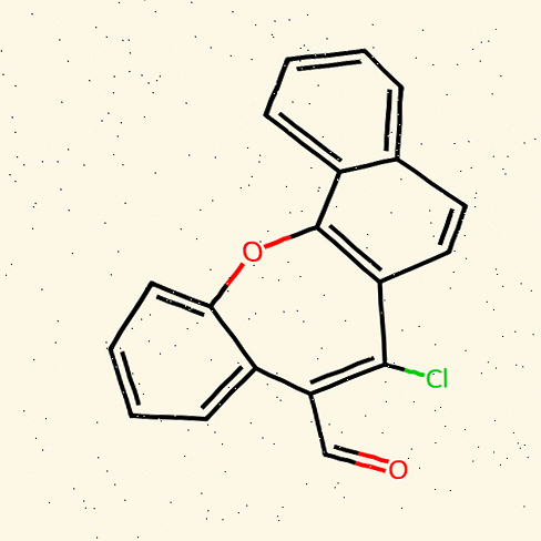 O=CC1=C(Cl)c2ccc3ccccc3c2Oc2ccccc21